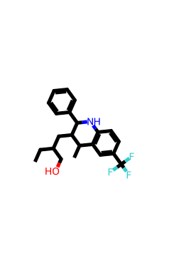 CCC(CO)CC1C(C)c2cc(C(F)(F)F)ccc2NC1c1ccccc1